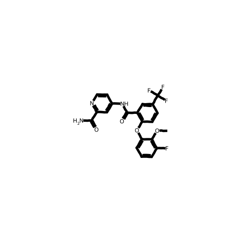 COc1c(F)cccc1Oc1ccc(C(F)(F)F)cc1C(=O)Nc1ccnc(C(N)=O)c1